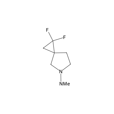 CNN1CCC2(C1)CC2(F)F